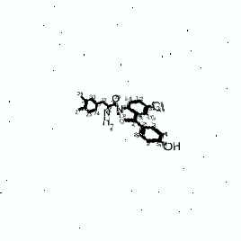 C=C(c1ccc(O)cc1)c1cc(Cl)ccc1N(C)C(=O)C(N)Cc1ccc(C)c(C)c1